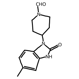 Cc1ccc2c(c1)[nH]c(=O)n2C1CCN(C=O)CC1